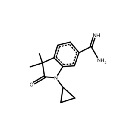 CC1(C)C(=O)N(C2CC2)c2cc(C(=N)N)ccc21